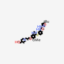 COc1cc2c(Sc3cccc(NC(=O)Nc4cc(C(C)(C)C)on4)c3)ncnc2cc1OCCCN1CCC(CO)CC1